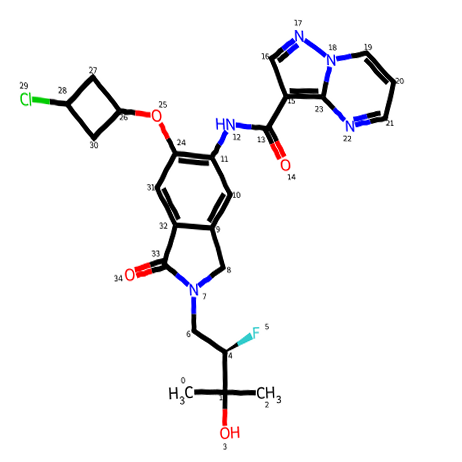 CC(C)(O)[C@H](F)CN1Cc2cc(NC(=O)c3cnn4cccnc34)c(OC3CC(Cl)C3)cc2C1=O